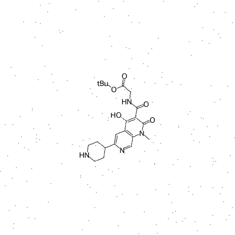 Cn1c(=O)c(C(=O)NCC(=O)OC(C)(C)C)c(O)c2cc(C3CCNCC3)ncc21